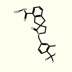 O=C(NO)c1cccc2c1CC1(CCN(Cc3ccc(C(F)(F)F)c(F)c3)C1=O)C2